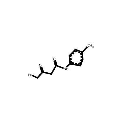 Cc1ccc(NC(=O)CC(=O)CBr)cc1